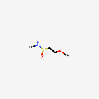 CCN[S+]([O-])CCOC(C)C